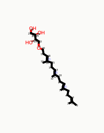 CC(C)=CCC/C(C)=C/CC/C(C)=C/CC/C(C)=C/CCOC[C@H](O)[C@H](O)CO